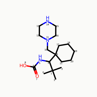 CC(C)(C)C(NC(=O)O)C1(CN2CCNCC2)CCCCC1